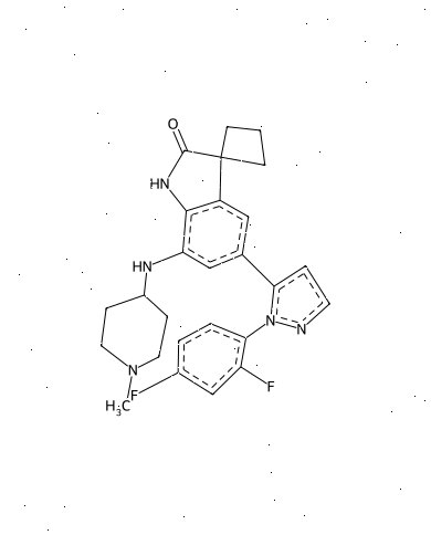 CN1CCC(Nc2cc(-c3ccnn3-c3ccc(F)cc3F)cc3c2NC(=O)C32CCC2)CC1